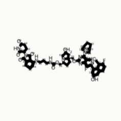 C#Cc1c(F)ccc2cc(O)cc(-c3ncc4c(N5CC6CCC(C5)N6)nc(OC[C@@]56CC[C@@H](COC(=O)NCCCNc7cccc8c7C(=O)N(C7CCC(=O)NC7=O)C8=O)N5CC(=C)C6)nc4c3F)c12